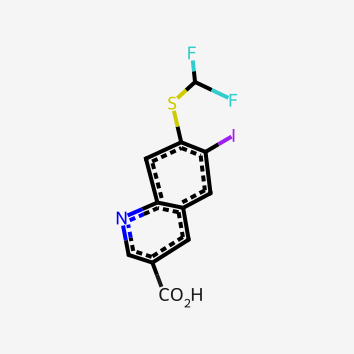 O=C(O)c1cnc2cc(SC(F)F)c(I)cc2c1